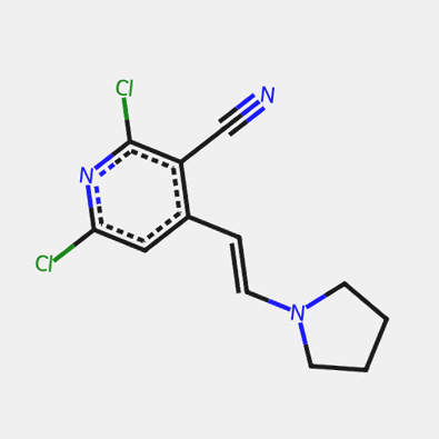 N#Cc1c(C=CN2CCCC2)cc(Cl)nc1Cl